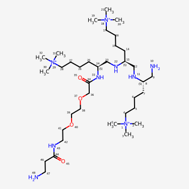 C[N+](C)(C)CCCC[C@@H](CN)NC[C@H](CCCC[N+](C)(C)C)NC[C@H](CCCC[N+](C)(C)C)NC(=O)COCCOCCNC(=O)CCN